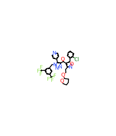 O=C(c1nnn(Cc2cc(C(F)(F)F)cc(C(F)(F)F)c2)c1-c1ccncc1)c1c(CCOC2CCCCO2)noc1-c1ccccc1Cl